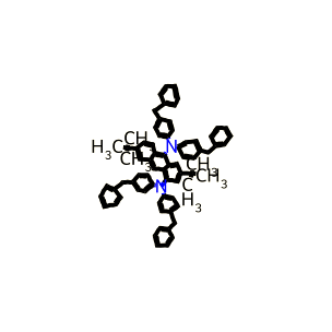 CC(C)(C)c1ccc2c(N(c3ccc(Cc4ccccc4)cc3)c3ccc(Cc4ccccc4)cc3)c3cc(C(C)(C)C)cc(N(c4ccc(Cc5ccccc5)cc4)c4ccc(Cc5ccccc5)cc4)c3cc2c1